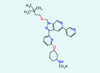 C[Si](C)(C)CCOCn1nc(-c2cccc(O[C@@H]3CCCC(NC(=O)O)C3)n2)c2cc(-c3cccnc3)ncc21